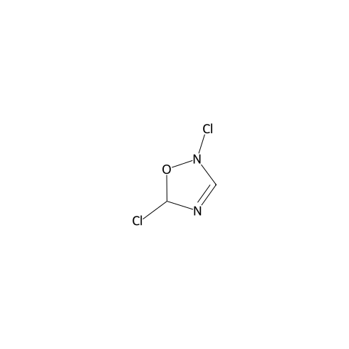 ClC1N=CN(Cl)O1